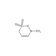 CN1C=CCS(=O)(=O)O1